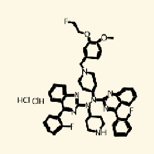 COc1ccc(CN2CCC(N(c3nc(-c4ccccc4F)c4ccccc4n3)N(c3nc(-c4ccccc4F)c4ccccc4n3)C3CCNCC3)CC2)cc1OCCF.Cl.Cl